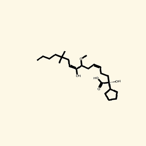 CCCCC(C)(C)C/C=C(/O)C(C/C=C\CC[C@](O)(C(=O)O)C1CCCC1)OC